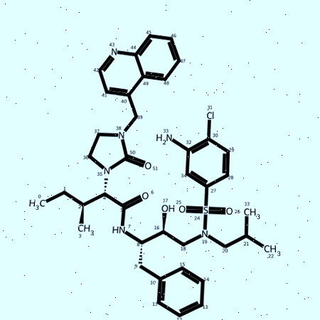 CC[C@H](C)[C@@H](C(=O)N[C@@H](Cc1ccccc1)[C@@H](O)CN(CC(C)C)S(=O)(=O)c1ccc(Cl)c(N)c1)N1CCN(Cc2ccnc3ccccc23)C1=O